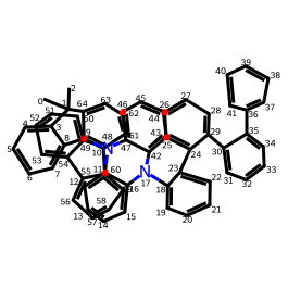 CC1(C)c2ccccc2-c2c(-c3ccccc3N(c3ccccc3-c3ccccc3-c3ccccc3-c3ccccc3)c3ccccc3-n3c4ccccc4c4ccccc43)cccc21